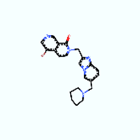 O=c1c2cncc(Br)c2ccn1Cc1cn2cc(CN3CCCCC3)ccc2n1